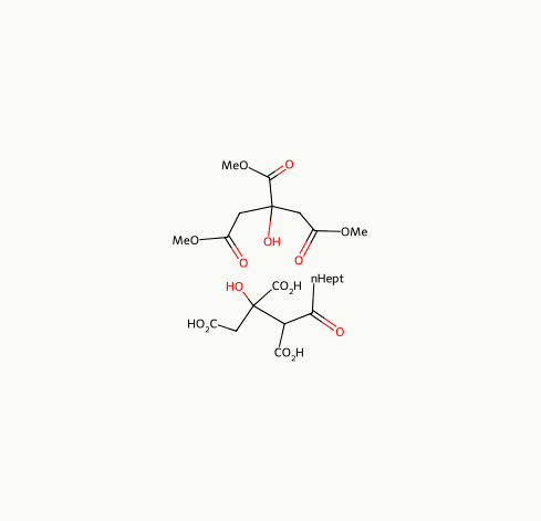 CCCCCCCC(=O)C(C(=O)O)C(O)(CC(=O)O)C(=O)O.COC(=O)CC(O)(CC(=O)OC)C(=O)OC